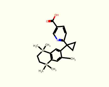 Cc1cc2c(cc1C1(c3ccc(C(=O)O)cn3)CC1)[Si](C)(C)CC[Si]2(C)C